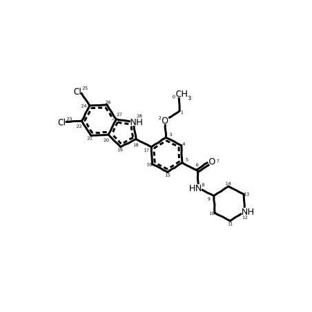 CCOc1cc(C(=O)NC2CCNCC2)ccc1-c1cc2cc(Cl)c(Cl)cc2[nH]1